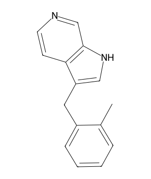 Cc1ccccc1Cc1c[nH]c2cnccc12